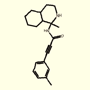 Cc1cccc(C#CC(=O)NC2(C)NCCC3CCCCC32)c1